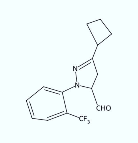 O=CC1CC(C2CCC2)=NN1c1ccccc1C(F)(F)F